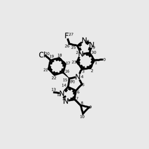 Cc1cc(N2Cc3c(C4CC4)nn(C)c3[C@H]2c2ccc(Cl)cc2)cn2c(CF)nnc12